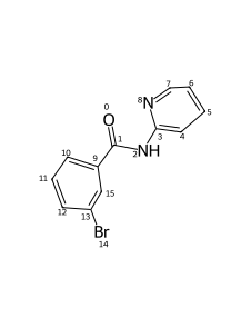 O=C(Nc1ccccn1)c1cccc(Br)c1